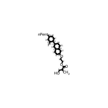 C=C(CO)C(=O)OCCOc1ccc2cc(-c3ccc(CCCCC)cc3F)ccc2c1